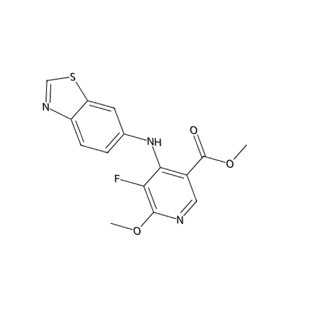 COC(=O)c1cnc(OC)c(F)c1Nc1ccc2ncsc2c1